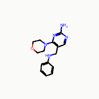 Nc1ncc(CNc2ccccc2)c(N2CCOCC2)n1